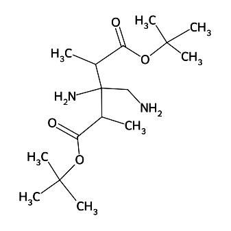 CC(C(=O)OC(C)(C)C)C(N)(CN)C(C)C(=O)OC(C)(C)C